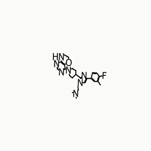 Cc1cc(-c2cn(CCN(C)C)c(C3CCN(c4ncnc5c4OCCN5)CC3)n2)ccc1F